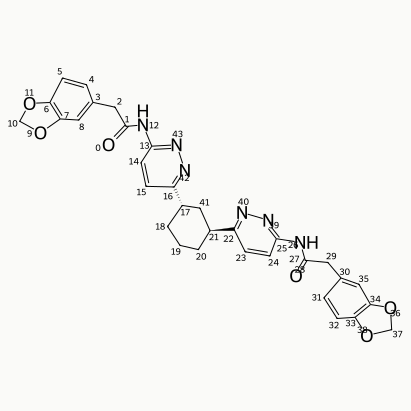 O=C(Cc1ccc2c(c1)OCO2)Nc1ccc([C@H]2CCC[C@H](c3ccc(NC(=O)Cc4ccc5c(c4)OCO5)nn3)C2)nn1